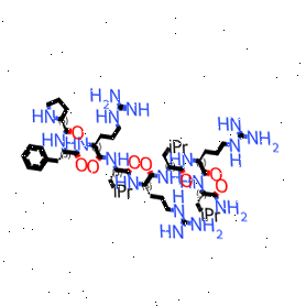 CC(C)C[C@H](NC(=O)[C@H](CCCNC(=N)N)NC(=O)[C@H](CC(C)C)NC(=O)[C@H](CCCNC(=N)N)NC(=O)[C@H](CC(C)C)NC(=O)[C@H](CCCNC(=N)N)NC(=O)[C@H](Cc1ccccc1)NC(=O)[C@@H]1CCCN1)C(N)=O